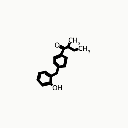 CCC(C)C(=O)c1ccc(Cc2ccccc2O)cc1